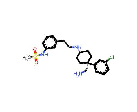 CS(=O)(=O)Nc1cccc(CCN[C@H]2CC[C@](CN)(c3cccc(Cl)c3)CC2)c1